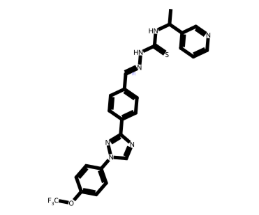 CC(NC(=S)N/N=C/c1ccc(-c2ncn(-c3ccc(OC(F)(F)F)cc3)n2)cc1)c1cccnc1